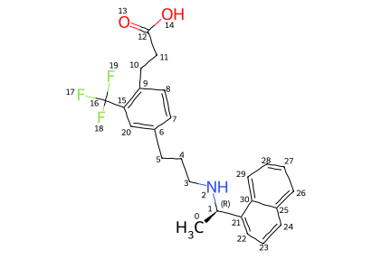 C[C@@H](NCCCc1ccc(CCC(=O)O)c(C(F)(F)F)c1)c1cccc2ccccc12